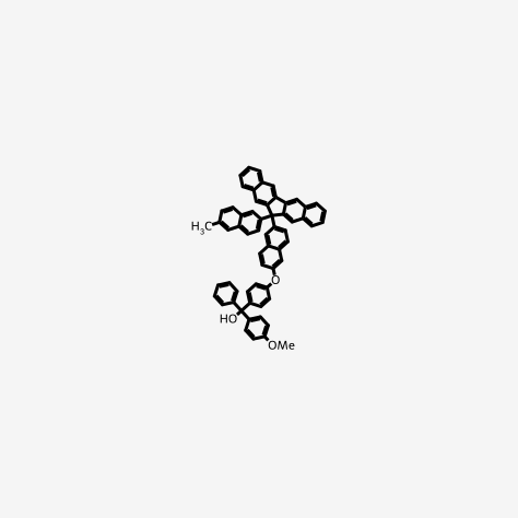 COc1ccc(C(O)(c2ccccc2)c2ccc(Oc3ccc4cc(C5(c6ccc7cc(C)ccc7c6)c6cc7ccccc7cc6-c6cc7ccccc7cc65)ccc4c3)cc2)cc1